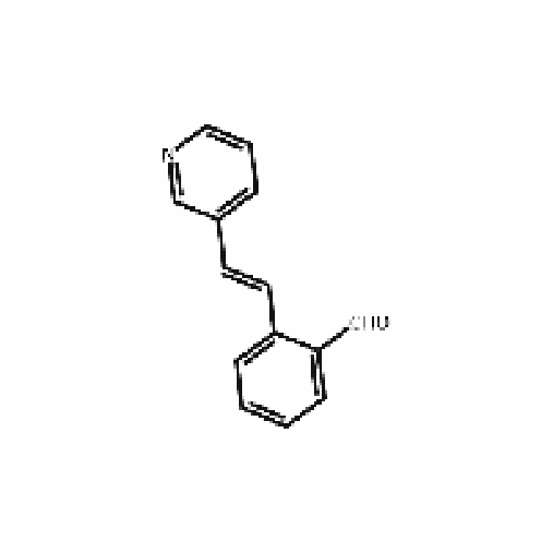 O=Cc1ccccc1/C=C/c1cccnc1